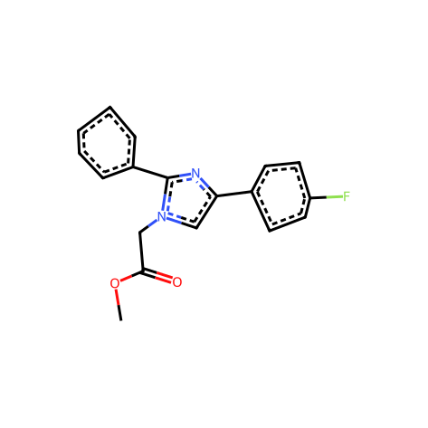 COC(=O)Cn1cc(-c2ccc(F)cc2)nc1-c1ccccc1